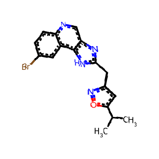 CC(C)c1cc(Cc2nc3cnc4ccc(Br)cc4c3[nH]2)no1